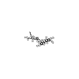 CCCCOC(=O)[C@H](CCC(=O)O)NC(=O)Cn1cc(COC(=O)c2c(OCOC)c(OCOC)cc3occ(-c4c(C)[nH]c5cc(OCOC)c(OCOC)cc5c4=O)c(=O)c23)nn1